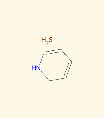 C1=CCNC=C1.S